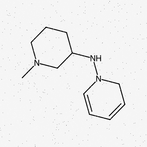 CN1CCCC(NN2C=CC=CC2)C1